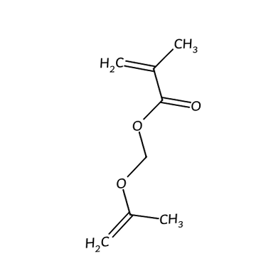 C=C(C)OCOC(=O)C(=C)C